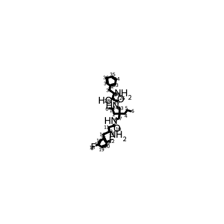 CCCC(CCC)(CNC(=O)CC(N)Cc1cc(F)ccc1F)CNC(=O)C(O)C(N)Cc1ccccc1